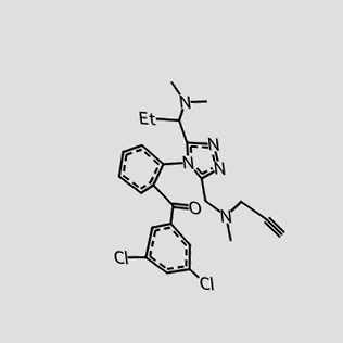 C#CCN(C)Cc1nnc(C(CC)N(C)C)n1-c1ccccc1C(=O)c1cc(Cl)cc(Cl)c1